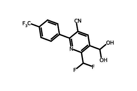 N#Cc1cc(C(O)O)c(C(F)F)nc1-c1ccc(C(F)(F)F)cc1